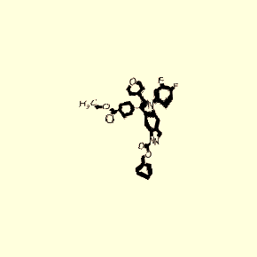 CCOC(=O)[C@H]1CC[C@H](c2c(C3CCOCC3)n(-c3ccc(F)c(F)c3)c3cc4cnn(C(=O)OCc5ccccc5)c4cc32)CC1